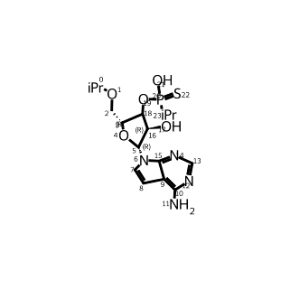 CC(C)OC[C@H]1O[C@@H](n2ccc3c(N)ncnc32)[C@H](O)C1OP(O)(=S)C(C)C